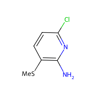 CSc1ccc(Cl)nc1N